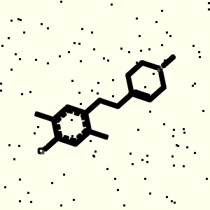 Cc1cc([CH]CC2=CCN(C)CC2)c(C)cc1Cl